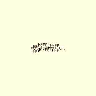 FC(F)(F)C(F)(F)C(F)(F)C(F)(F)C(F)(F)C(F)(F)C(F)(F)C(F)(F)C(F)(F)C(F)(F)[Si](F)(F)[Si](F)(F)[Si](F)(F)F